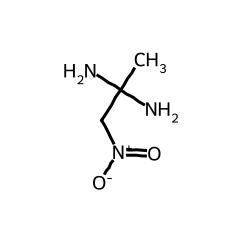 CC(N)(N)C[N+](=O)[O-]